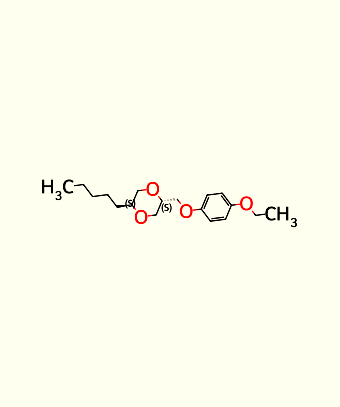 CCCCC[C@H]1CO[C@H](COc2ccc(OCC)cc2)CO1